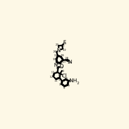 CC1(Cl)C(c2cccc(N)c2)=CC=CC1c1nc2cc(CN3CC(F)C3)cc(C#N)c2o1